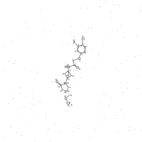 O=C(COc1ccc(Cl)c(F)c1)NC12CC(N3C[C@H](COC(F)(F)F)CC3=O)(C1)C2